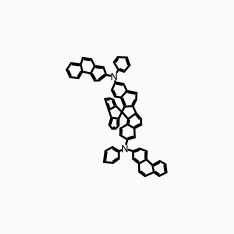 c1ccc(N(c2ccc3c4c(ccc3c2)-c2ccc3cc(N(c5ccccc5)c5ccc6c(ccc7ccccc76)c5)ccc3c2C42c3ccccc3-c3ccccc32)c2ccc3c(ccc4ccccc43)c2)cc1